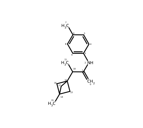 C=C(Nc1ccc(C)cc1)C(C)C12CC(C)(C1)C2